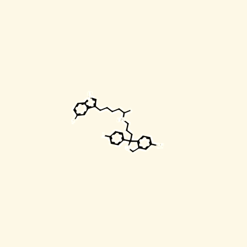 CC(CCCCc1c[nH]c2ccc(F)cc12)NCCCC1(c2ccc(F)cc2)OCc2cc(C#N)ccc21